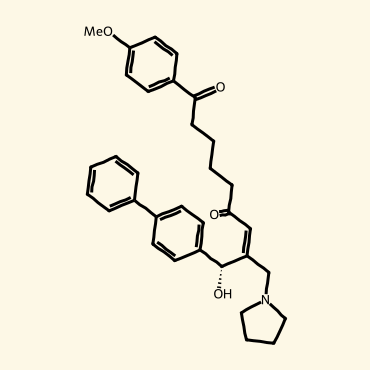 COc1ccc(C(=O)CCCCC(=O)/C=C(/CN2CCCC2)[C@H](O)c2ccc(-c3ccccc3)cc2)cc1